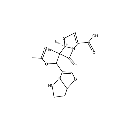 CC(=O)OC(C1=COC2CCNN12)C1(Br)C(=O)N2C(C(=O)O)=CS[C@@H]21